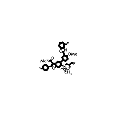 CNC(=O)c1c(-c2ccc(F)cc2)oc2cc(N(CC(F)CF)S(C)(=O)=O)c(-c3ccc(OC)c(-c4nc5c(F)cccc5o4)c3)cc12